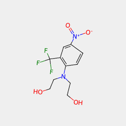 O=[N+]([O-])c1ccc(N(CCO)CCO)c(C(F)(F)F)c1